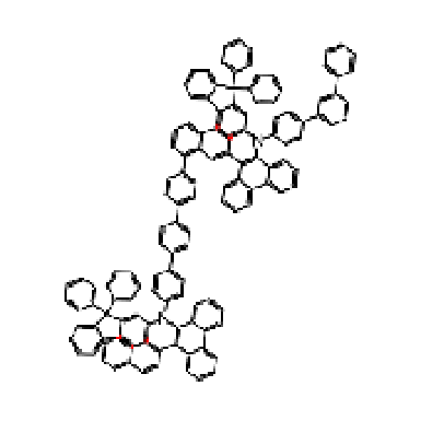 c1ccc(-c2cccc(-c3ccc(N(c4ccc5c(c4)C(c4ccccc4)(c4ccccc4)c4ccccc4-5)c4c(-c5ccc6cccc(-c7ccc(-c8ccc(-c9ccc(N(c%10ccc%11c(c%10)C(c%10ccccc%10)(c%10ccccc%10)c%10ccccc%10-%11)c%10c(-c%11ccc%12ccccc%12c%11)c%11ccccc%11c%11ccccc%10%11)cc9)cc8)cc7)c6c5)c5ccccc5c5ccccc45)cc3)c2)cc1